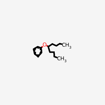 CCCCC(CCCC)Oc1ccccc1